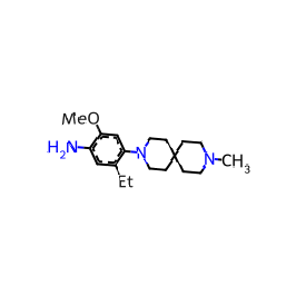 CCc1cc(N)c(OC)cc1N1CCC2(CCN(C)CC2)CC1